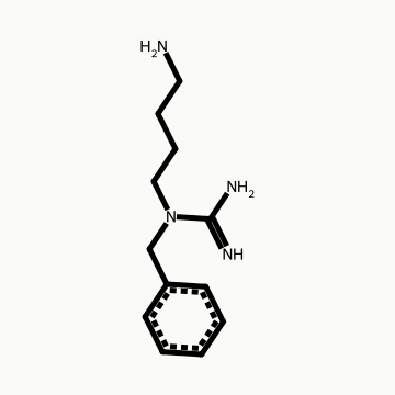 N=C(N)N(CCCCN)Cc1ccccc1